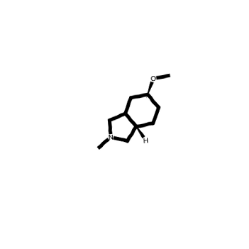 CO[C@H]1CC[C@@H]2CN(C)CC2C1